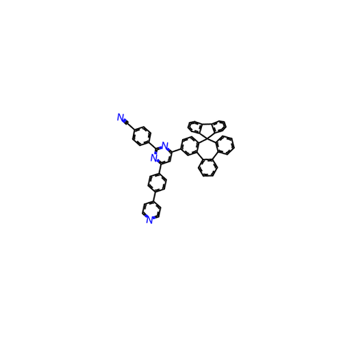 N#Cc1ccc(-c2nc(-c3ccc(-c4ccncc4)cc3)cc(-c3ccc4c(c3)-c3ccccc3-c3ccccc3C43c4ccccc4-c4ccccc43)n2)cc1